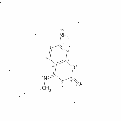 C/N=C1\CC(=O)Oc2cc(N)ccc21